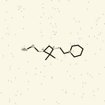 CCCCOC[C@@H]1C[C@H](CCN2CCCCC2)C1(C)C